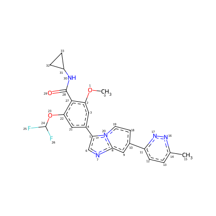 COc1cc(-c2cnc3cc(-c4ccc(C)nn4)ccn23)cc(OC(F)F)c1C(=O)NC1CC1